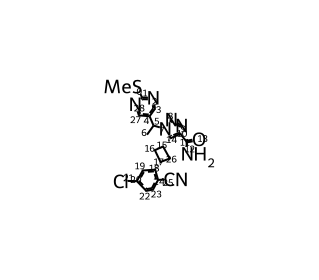 CSc1ncc(C(C)n2nnc(C(N)=O)c2[C@H]2C[C@@H](c3cc(Cl)ccc3C#N)C2)cn1